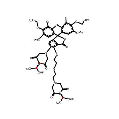 COc1cc2c(c(Cl)c1OCOC(C)=O)Oc1c(cc(OC)c(OCOC(C)=O)c1Cl)C21OC(=O)c2c1ccc(N(CC(=O)OCOC(C)=O)CC(=O)OCOC(C)=O)c2OCCOCCN(CC(=O)OCOC(C)=O)CC(=O)OCOC(C)=O